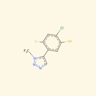 Fc1cc(Cl)c(S)cc1-c1cnnn1C(F)(F)F